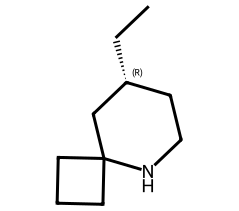 CC[C@@H]1CCNC2(CCC2)C1